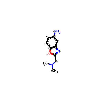 CN(C)Cc1nc2cc(N)ccc2o1